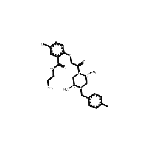 C[C@@H]1CN(Cc2ccc(F)cc2)[C@@H](C)CN1C(=O)COc1ccc(Cl)cc1C(=O)NCCN